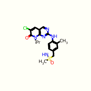 Cc1cc(CS(C)(=N)=O)ccc1Nc1ncc2cc(Cl)c(=O)n(C(C)C)c2n1